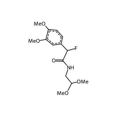 COc1ccc(C(F)C(=O)NCC(OC)OC)cc1OC